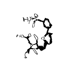 NS(=O)(=O)c1cccc(-c2ccc(C=C3SC(=S)N(CC(=O)O)C3=O)o2)c1